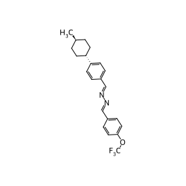 C[C@H]1CC[C@H](c2ccc(C=NN=Cc3ccc(OC(F)(F)F)cc3)cc2)CC1